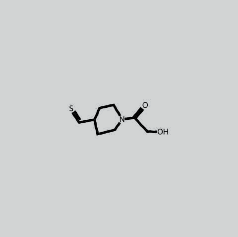 O=C(CO)N1CCC(C=S)CC1